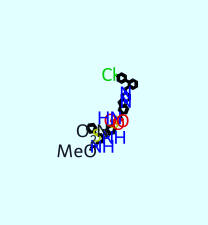 COCNCCC(CSc1ccccc1)Nc1ccc(S(=O)(=O)NC(=O)c2ccc3c(c2)cc2n3CCN(Cc3ccccc3-c3ccc(Cl)cc3)C2)cc1[N+](=O)[O-]